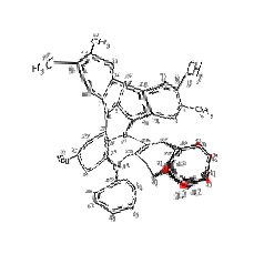 Cc1cc2c3c4n(c5cc(C)c(C)cc5n4c2cc1C)-c1cc(C(C)(C)C)cc2c1B3C1=C(C3c4ccccc4C1c1ccccc13)N2c1ccccc1